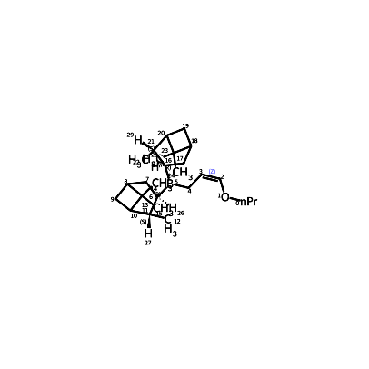 CCCO/C=C\CB([C@@H]1CC2CC([C@H]1C)C2(C)C)[C@@H]1CC2CC([C@H]1C)C2(C)C